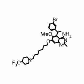 COc1c(OCCCCCCCN2CCC(C(F)(F)F)CC2)cc2nc(C)nc(N)c2c1C(C)c1cccc(Br)c1